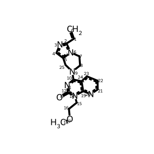 C=Cc1ncc2n1CCN(c1nc(=O)n(CCOC)c3ncccc13)C2